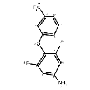 Nc1cc(F)c(Oc2cccc(C(F)(F)F)c2)c(F)c1